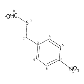 O=[C]SCc1ccc([N+](=O)[O-])cc1